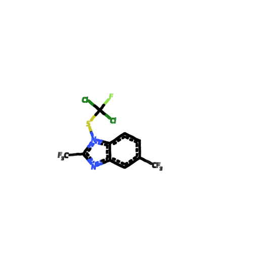 FC(Cl)(Cl)Sn1c(C(F)(F)F)nc2cc(C(F)(F)F)ccc21